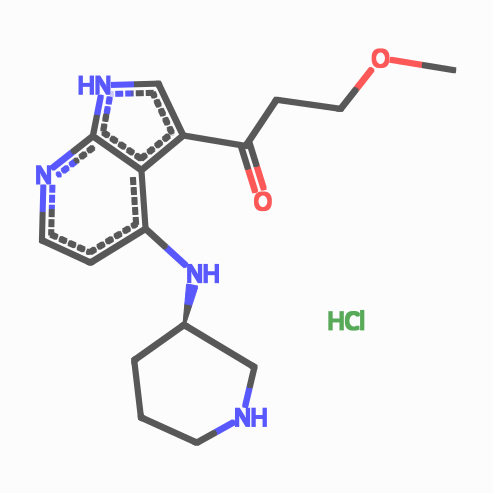 COCCC(=O)c1c[nH]c2nccc(N[C@@H]3CCCNC3)c12.Cl